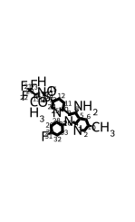 Cc1cnc2c(c1)c(N)c(-c1ccc(S(=O)(=O)N[C@@H](C)C(F)(F)F)cn1)n2-c1ccc(F)cc1